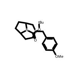 COc1ccc(CN2CCC3CCC(C2)N3C(=O)OC(C)(C)C)cc1